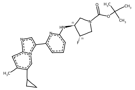 Cc1cc2ncc(-c3cccc(N[C@H]4CN(C(=O)OC(C)(C)C)C[C@@H]4F)n3)n2cc1C1CC1